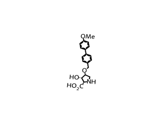 COc1ccc(-c2ccc(CO[C@H]3CN[C@@H](C(=O)O)[C@@H]3O)cc2)cc1